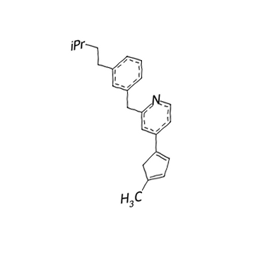 CC1=CC=C(c2ccnc(Cc3cccc(CCC(C)C)c3)c2)C1